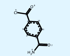 NC(=O)c1ccc(C(=O)Cl)cc1